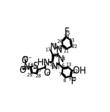 O=C(Nc1nc(-c2ccc(F)c(O)c2)nc2c1cnn2-c1cccc(F)c1)c1ccc([N+](=O)[O-])s1